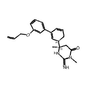 C=CCOc1cccc(C2=C[C@H]([C@]3(C)CC(=O)N(C)C(=N)N3)CC=C2)c1